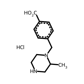 CC1CNCCN1Cc1ccc(C(=O)O)cc1.Cl